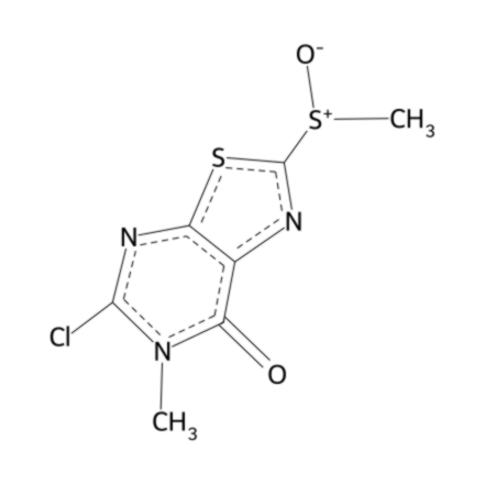 Cn1c(Cl)nc2sc([S+](C)[O-])nc2c1=O